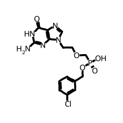 Nc1nc2c(ncn2CCOCP(=O)(O)OCc2cccc(Cl)c2)c(=O)[nH]1